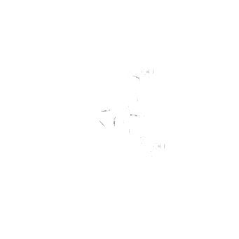 CCCCC(Cc1ccccc1)(OC(=O)CCCCC(=O)O)C(C)OCC(C)O